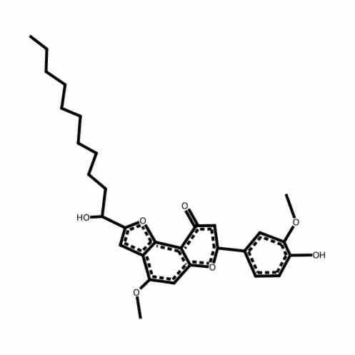 CCCCCCCCCCC(O)c1cc2c(OC)cc3oc(-c4ccc(O)c(OC)c4)cc(=O)c3c2o1